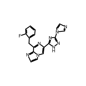 Fc1ccccc1Cc1nc(-c2nc(-n3ccnc3)n[nH]2)cn2ccnc12